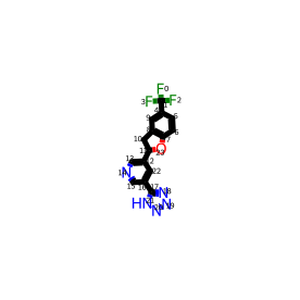 FC(F)(F)c1ccc2c(c1)CC(c1cncc(-c3nnn[nH]3)c1)O2